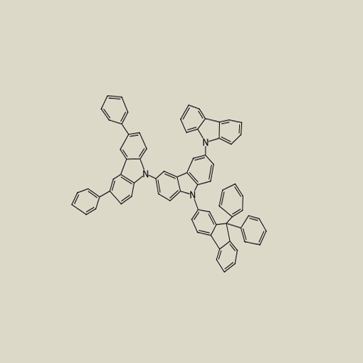 c1ccc(-c2ccc3c(c2)c2cc(-c4ccccc4)ccc2n3-c2ccc3c(c2)c2cc(-n4c5ccccc5c5ccccc54)ccc2n3-c2ccc3c(c2)C(c2ccccc2)(c2ccccc2)c2ccccc2-3)cc1